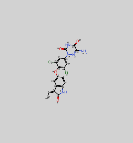 CC(C)/C=C1\C(=O)Nc2ccc(Oc3c(Cl)cc(-n4nc(N)c(=O)[nH]c4=O)cc3Cl)cc21